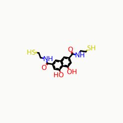 O=C(NCCS)c1cc(O)c2c(O)cc(C(=O)NCCS)cc2c1